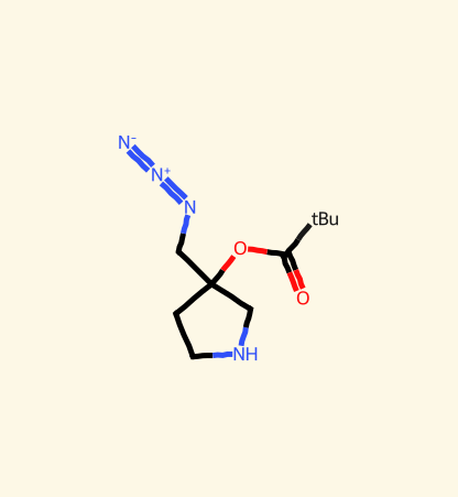 CC(C)(C)C(=O)OC1(CN=[N+]=[N-])CCNC1